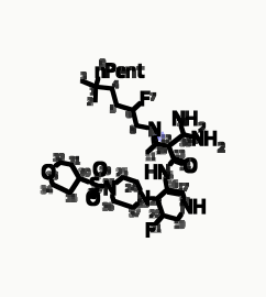 CCCCCC(C)(C)CCC(F)C/N=C(\C)C(C(=O)NC1=CNCC(F)C1N1CCN(S(=O)(=O)C2CCOCC2)CC1)C(N)N